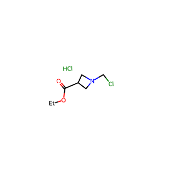 CCOC(=O)C1CN(CCl)C1.Cl